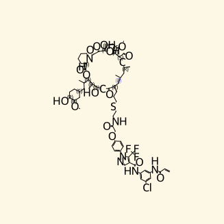 C=CC(=O)Nc1cc(Cl)cc(NC(=O)c2cnn(-c3ccc(OCC(=O)NCCSCCC[C@@H]4/C=C(\C)C[C@H](C)C[C@H](C=O)[C@H]5O[C@@](O)(C(=O)C(=O)N6CCCC[C@H]6C(=O)O[C@H](C(C)C[C@@H]6CC[C@@H](O)[C@H](OC)C6)[C@H](C)[C@@H](O)CC4=O)[C@H](C)C[C@@H]5OC)cc3)c2C(F)(F)F)c1